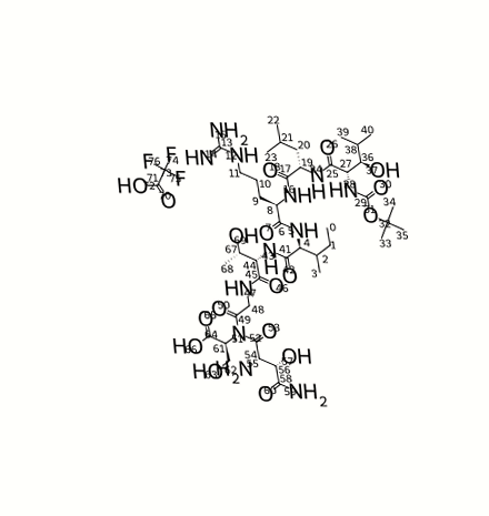 CCC(C)[C@H](NC(=O)[C@@H](CCCNC(=N)N)NC(=O)[C@H](CC(C)C)NC(=O)[C@@H](NC(=O)OC(C)(C)C)[C@H](O)C(C)C)C(=O)N[C@H](C(=O)NCC(=O)N(C(=O)[C@@H](N)[C@H](O)C(N)=O)[C@@H](CO)C(=O)O)[C@H](C)O.O=C(O)C(F)(F)F